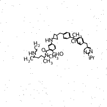 C=CNC(=C)CCC(C)N(C)C(=O)c1cc(NC2CC(Cc3ccc(C(C)(C)c4ccc(Cc5cnc(C(C)C)nc5)cc4)cc3)C2)ccc1C=O